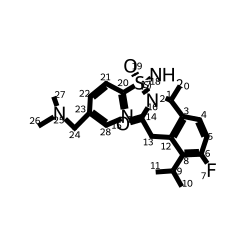 CC(C)c1ccc(F)c(C(C)C)c1CC(=O)N=[S@](N)(=O)c1ccc(CN(C)C)cn1